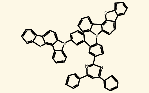 c1ccc(-c2cc(-c3ccccc3)nc(-c3ccc(-n4c5ccccc5c5c6sc7ccccc7c6ccc54)c(-c4cccc(-n5c6ccccc6c6c7sc8ccccc8c7ccc65)c4)c3)n2)cc1